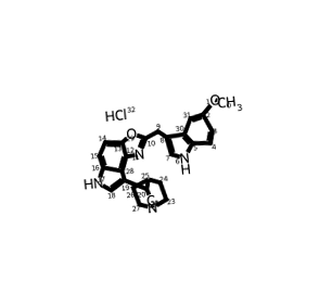 COc1ccc2[nH]cc(Cc3nc4c(ccc5[nH]cc(C6CN7CCC6CC7)c54)o3)c2c1.Cl